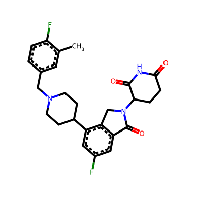 Cc1cc(CN2CCC(c3cc(F)cc4c3CN(C3CCC(=O)NC3=O)C4=O)CC2)ccc1F